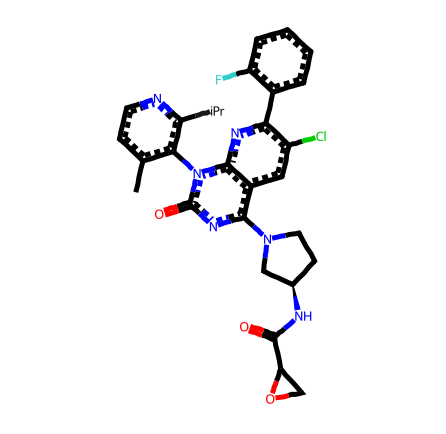 Cc1ccnc(C(C)C)c1-n1c(=O)nc(N2CC[C@@H](NC(=O)C3CO3)C2)c2cc(Cl)c(-c3ccccc3F)nc21